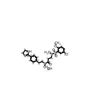 COc1ccc(Cl)cc1S(=O)(=O)N(C)CCC(=O)N(C)CCc1ccc(C2=NCCN2)cc1.Cl